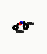 COc1cccc(CO/N=[C]\c2ccccc2OC)c1